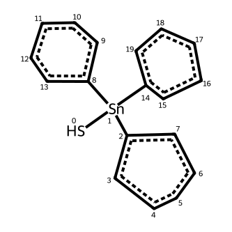 [SH][Sn]([c]1ccccc1)([c]1ccccc1)[c]1ccccc1